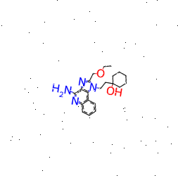 CCOCc1nc2c(N)nc3ccccc3c2n1CCC1(O)CCCCC1